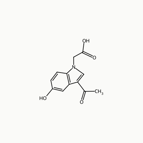 CC(=O)c1cn(CC(=O)O)c2ccc(O)cc12